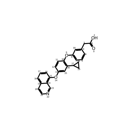 O=C(O)Cc1cccc(Oc2ccc(Oc3cccc4ccncc34)cc2C2CC2)c1